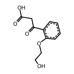 O=C(O)CC(=O)c1ccccc1OCCO